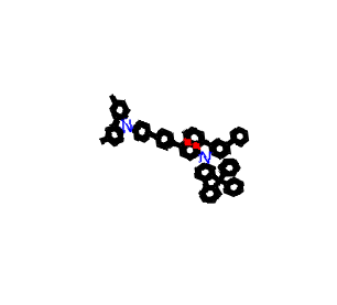 Cc1ccc2c(c1)c1cc(C)ccc1n2-c1ccc(-c2ccc(-c3ccc(N(c4ccc5c(c4)C(c4ccccc4)(c4ccccc4)c4ccccc4-5)c4ccc(-c5ccccc5)cc4-c4ccccc4)cc3)cc2)cc1